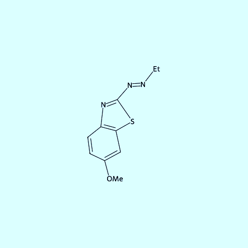 CCN=Nc1nc2ccc(OC)cc2s1